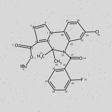 CC(C)(C)OC(=O)c1ncn2c1C(C)(C)N(C(=O)c1ccccc1F)c1cc(Cl)ccc1-2